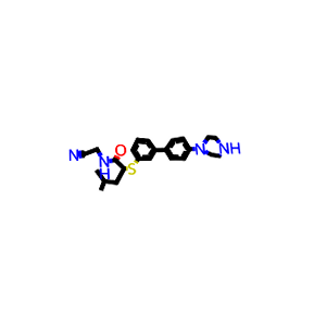 CC(C)CC(Sc1cccc(-c2ccc(N3CCNCC3)cc2)c1)C(=O)NCC#N